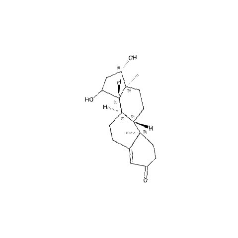 C[C@]12CC[C@H]3[C@@H](CCC4=CC(=O)CC[C@@]43C)[C@@H]1C(O)C[C@@H]2O